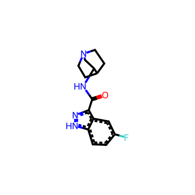 O=C(NC1CN2CCC1CC2)c1n[nH]c2ccc(F)cc12